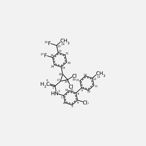 C=C(Nc1ccc(Cl)c(-c2ccc(C)cc2)c1)C1C(c2ccc(C(C)F)c(F)c2)C1(Cl)Cl